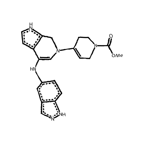 COC(=O)N1CC=C(N2C=C(Nc3ccc4[nH]ncc4c3)c3cc[nH]c3C2)CC1